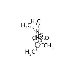 CCCCN(CCCC)c1nc(-c2c(CC)cc(CC)cc2CC)c(C=O)s1